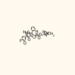 Cn1cnc(COC(=O)N[C@@H]2CCc3c2c(-c2ccccc2)n(C)c3C(=O)Nc2ccc(F)c(Cl)c2)n1